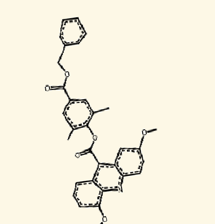 COc1ccc2nc3c(OC)cccc3c(C(=O)Oc3c(C)cc(C(=O)OCc4ccccc4)cc3C)c2c1